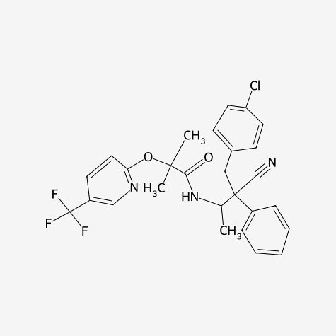 CC(NC(=O)C(C)(C)Oc1ccc(C(F)(F)F)cn1)C(C#N)(Cc1ccc(Cl)cc1)c1ccccc1